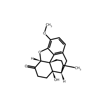 COc1ccc2c3c1O[C@H]1C(=O)CC[C@@]4(O)[C@@H](C2)C(C)CC[C@]314